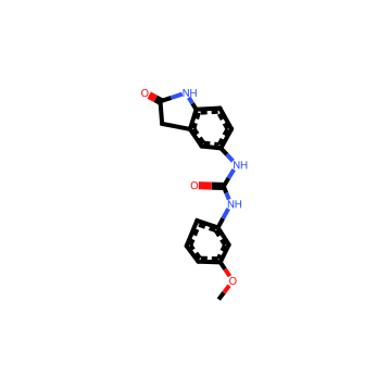 COc1cccc(NC(=O)Nc2ccc3c(c2)CC(=O)N3)c1